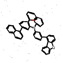 c1ccc(-c2ccc(-c3cccc4ccccc34)cc2N(c2ccccc2)c2cccc(-c3cccc4oc5ccccc5c34)c2)cc1